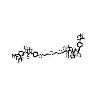 Cc1ncsc1-c1ccc(CNC(=O)[C@@H]2CCCN2C(=O)C(NC(=O)COCCCOCCCCOc2ccc(N3C(=S)N(c4ccc(C#N)c(C(F)(F)F)c4)C(=O)C3(C)C)cc2)C(C)(C)C)cc1